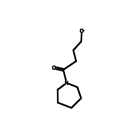 [O]CCCC(=O)N1CCCCC1